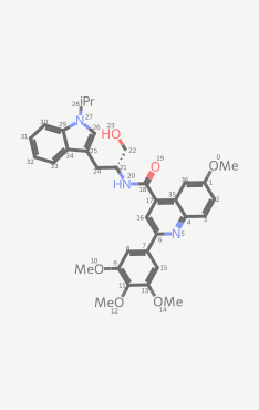 COc1ccc2nc(-c3cc(OC)c(OC)c(OC)c3)cc(C(=O)N[C@@H](CO)Cc3cn(C(C)C)c4ccccc34)c2c1